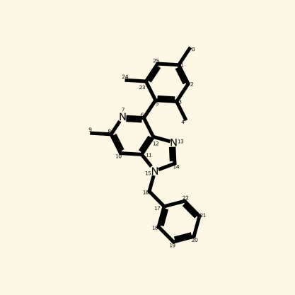 Cc1cc(C)c(-c2nc(C)cc3c2ncn3Cc2ccccc2)c(C)c1